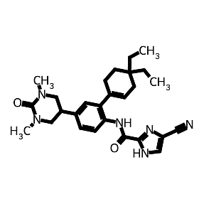 CCC1(CC)CC=C(c2cc(C3CN(C)C(=O)N(C)C3)ccc2NC(=O)c2nc(C#N)c[nH]2)CC1